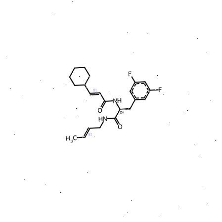 C/C=C/CNC(=O)[C@H](Cc1cc(F)cc(F)c1)NC(=O)/C=C/C1CCCCC1